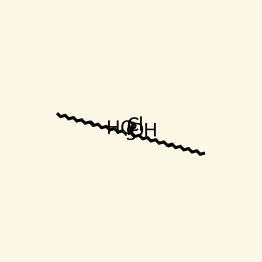 CCCCCCCCC=CCCCCCCCCS(CCCCCCCCC=CCCCCCCCC)=P(O)(O)Cl